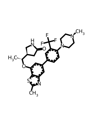 Cc1nc2cc(-c3ccc(N4CCN(C)CC4)c(C(F)(F)F)c3)cc(O[C@H](C)[C@H]3CNC(=O)C3)c2s1